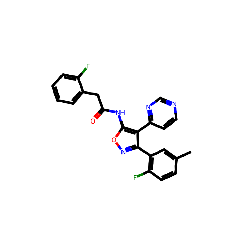 Cc1ccc(F)c(-c2noc(NC(=O)Cc3ccccc3F)c2-c2ccncn2)c1